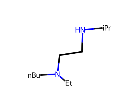 CCCCN(CC)CCNC(C)C